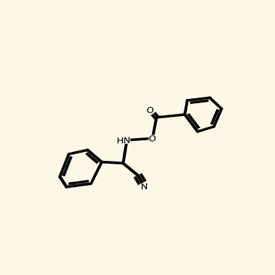 N#CC(NOC(=O)c1ccccc1)c1ccccc1